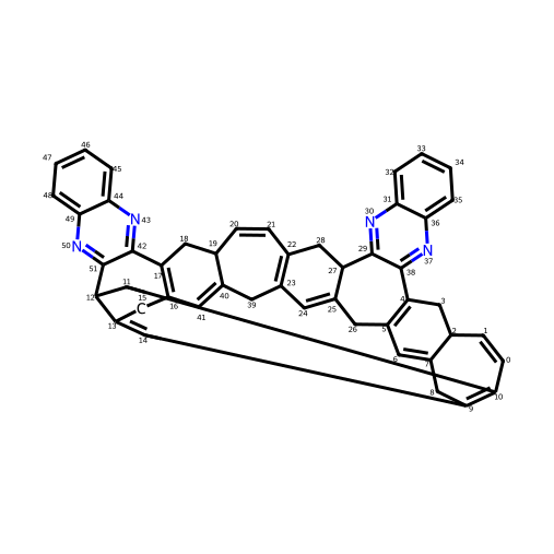 C1=CC2CC3=C4C=C2CC2=C1CC1C(=C2)CC2=C(CC5C=CC6=C(C=C(C4)C(C6)c4nc6ccccc6nc43)CC5=C2)c2nc3ccccc3nc21